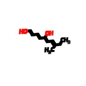 CCC(C)=CCC(O)CCCCO